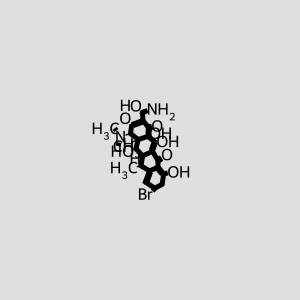 C[C@H]1C2=CC(Br)CC(O)=C2C(=O)C2=C(O)[C@]3(O)C(=O)C(C(N)=O)=C(O)[C@@H](N(C)C)[C@@H]3[C@@H](O)[C@@H]21